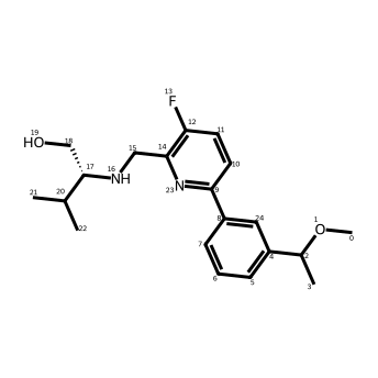 COC(C)c1cccc(-c2ccc(F)c(CN[C@@H](CO)C(C)C)n2)c1